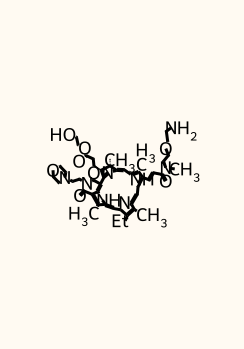 CCC1=C(C)c2cc3[nH]c(cc4nc(c5c6[nH]c(cc1n2)c(C)c6C(=O)N(CCN1CCOCC1)C5=O)[C@@H](CCC(=O)OCCO)[C@@H]4C)c(C)c3/C=C/C(=O)N(C)CCOCCN